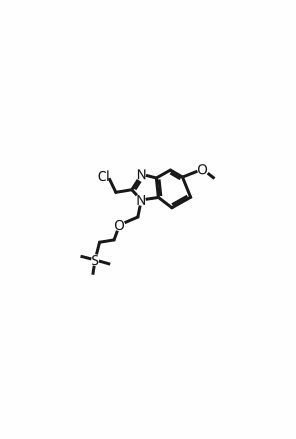 COc1ccc2c(c1)nc(CCl)n2COCCS(C)(C)C